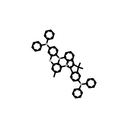 Cc1cc2c3c(c1)-n1c4c(c5cccc(c51)B3c1ccc(N(c3ccccc3)c3ccccc3)cc1O2)C(C)(C)c1cc(N(c2ccccc2)c2ccccc2)ccc1-4